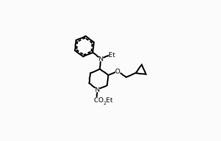 CCOC(=O)N1CCC(N(CC)c2ccccc2)C(OCC2CC2)C1